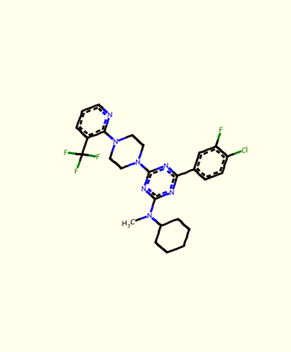 CN(c1nc(-c2ccc(Cl)c(F)c2)nc(N2CCN(c3ncccc3C(F)(F)F)CC2)n1)C1CCCCC1